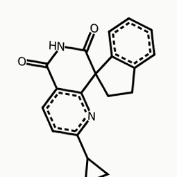 O=C1NC(=O)C2(CCc3ccccc32)c2nc(C3CC3)ccc21